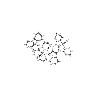 O=P(c1ccccc1)(c1ccccc1)c1ccc(C2(c3ccc4c(c3)C3(c5ccccc5-c5ccccc53)c3ccccc3-4)c3ccccc3-c3ccccc32)cc1